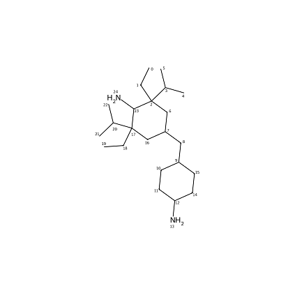 CCC1(C(C)C)CC(CC2CCC(N)CC2)CC(CC)(C(C)C)C1N